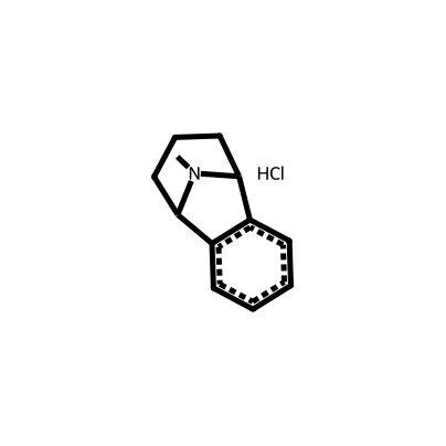 CN1C2CCCC1c1ccccc12.Cl